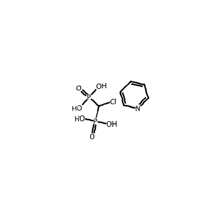 O=P(O)(O)C(Cl)P(=O)(O)O.c1ccncc1